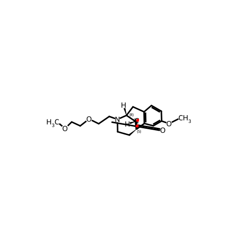 COCCOCCN1CC[C@]23CC(=O)CC[C@H]2[C@H]1Cc1ccc(OC)cc13